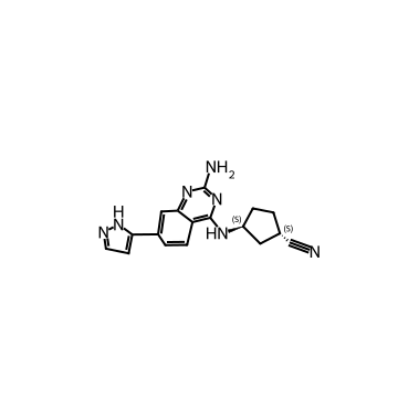 N#C[C@H]1CC[C@H](Nc2nc(N)nc3cc(-c4ccn[nH]4)ccc23)C1